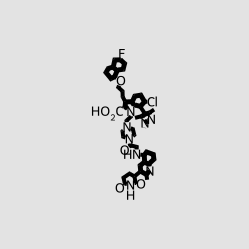 Cc1nc2cccc(NCC(=O)N3CCN(CCn4c(C(=O)O)c(CCCOc5cccc6cc(F)ccc56)c5ccc(Cl)c(-c6c(C)nn(C)c6C)c54)CC3)c2cc1C1CCC(=O)NC1=O